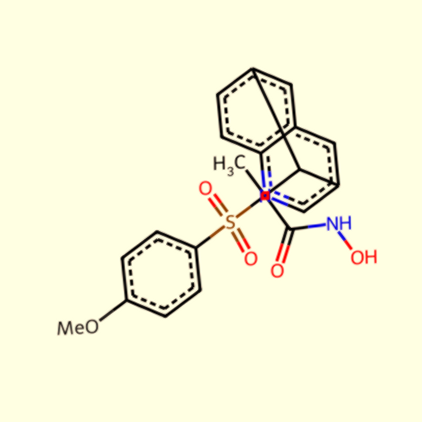 COc1ccc(S(=O)(=O)C(C)(C(=O)NO)C2c3ccc4ncc2cc4c3)cc1